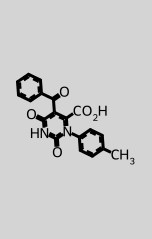 Cc1ccc(-n2c(C(=O)O)c(C(=O)c3ccccc3)c(=O)[nH]c2=O)cc1